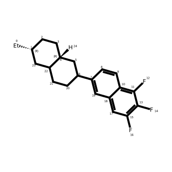 CC[C@@H]1CC[C@@H]2CC(c3ccc4c(F)c(F)c(F)cc4c3)CCC2C1